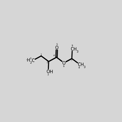 [CH2]CC(O)C(=O)OC(C)C